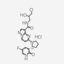 Cl.O=C(NCC(O)CCl)c1cnn2ccc(N3CCC[C@@H]3c3cc(F)c[nH]c3=O)nc12